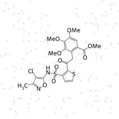 COC(=O)c1cc(OC)c(OC)c(OC)c1CC(=O)c1sccc1S(=O)(=O)Nc1onc(C)c1Cl